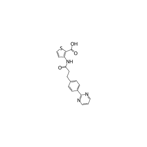 O=C(CCc1ccc(-c2ncccn2)cc1)Nc1ccsc1C(=O)O